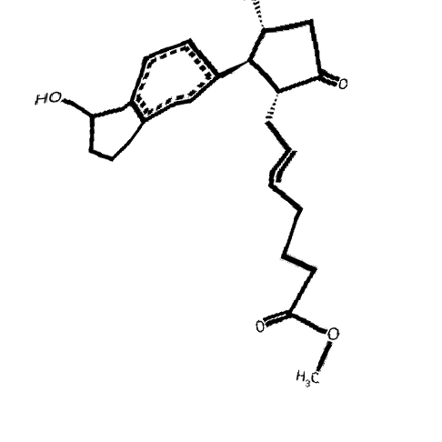 COC(=O)CCCC=CC[C@H]1C(=O)C[C@@H](O)[C@@H]1c1ccc2c(c1)CCC2O